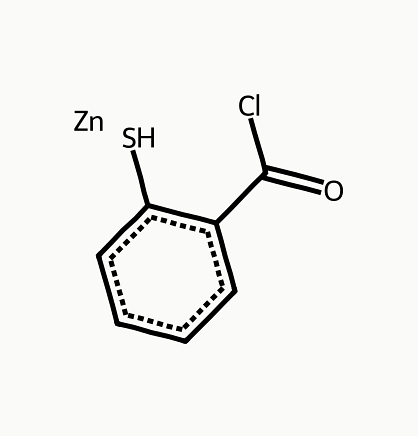 O=C(Cl)c1ccccc1S.[Zn]